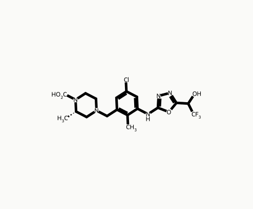 Cc1c(CN2CCN(C(=O)O)[C@@H](C)C2)cc(Cl)cc1Nc1nnc(C(O)C(F)(F)F)o1